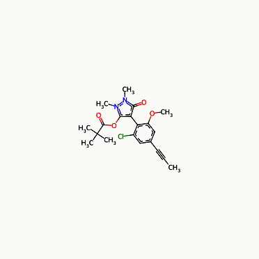 CC#Cc1cc(Cl)c(-c2c(OC(=O)C(C)(C)C)n(C)n(C)c2=O)c(OC)c1